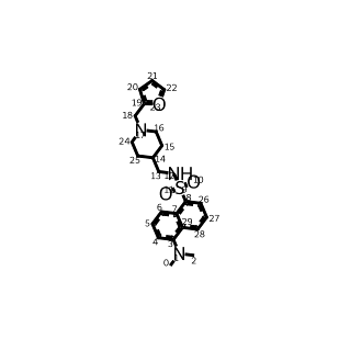 CN(C)c1cccc2c(S(=O)(=O)NCC3CCN(Cc4ccco4)CC3)cccc12